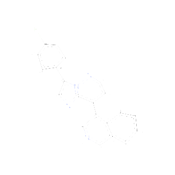 Fc1ccc(-c2cnc3c(-c4cncc5ccccc45)ccnn23)cc1